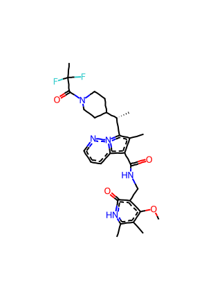 COc1c(C)c(C)[nH]c(=O)c1CNC(=O)c1c(C)c([C@@H](C)C2CCN(C(=O)C(C)(F)F)CC2)n2ncccc12